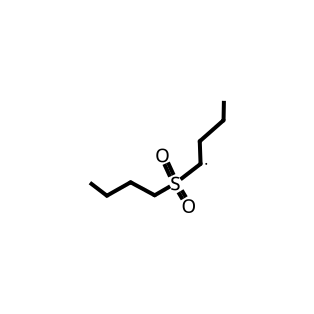 CCC[CH]S(=O)(=O)CCCC